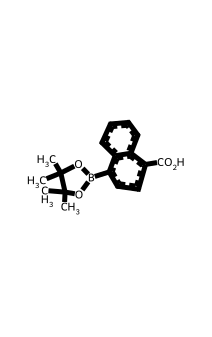 CC1(C)OB(c2ccc(C(=O)O)c3ccccc23)OC1(C)C